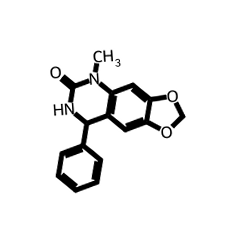 CN1C(=O)NC(c2ccccc2)c2cc3c(cc21)OCO3